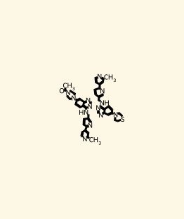 CC(=O)N1CCN(c2ccc3c(NCc4ccc(-c5ccnc(C)c5)nc4)ncnc3c2)CC1.Cc1cc(-c2ccc(CNc3ncnc4cc(N5CCSCC5)ccc34)cn2)ccn1